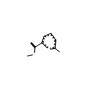 CC(C)(C)OC(=O)c1cccc(C=O)n1